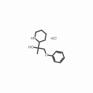 CC(O)(COc1ccccc1)C1CCCCN1.Cl